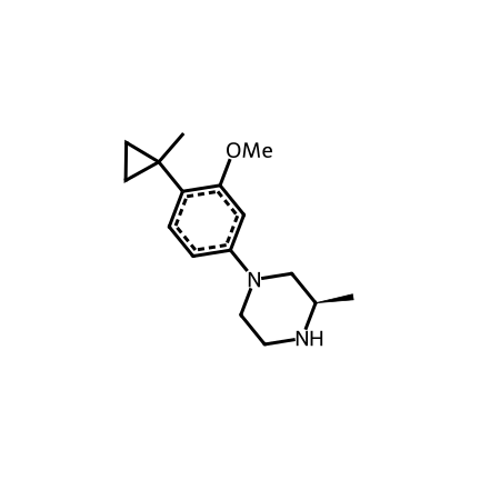 COc1cc(N2CCN[C@H](C)C2)ccc1C1(C)CC1